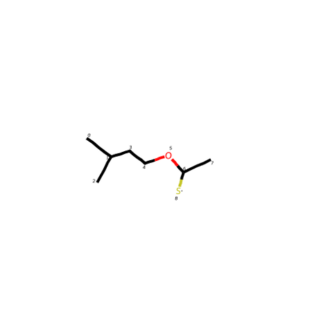 CC(C)CCOC(C)[S]